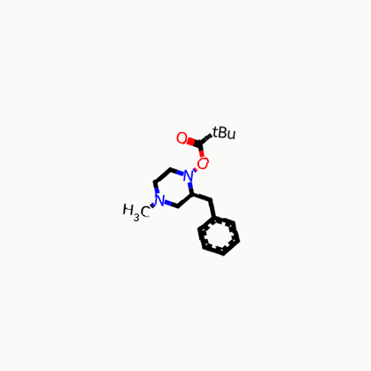 CN1CCN(OC(=O)C(C)(C)C)C(Cc2ccccc2)C1